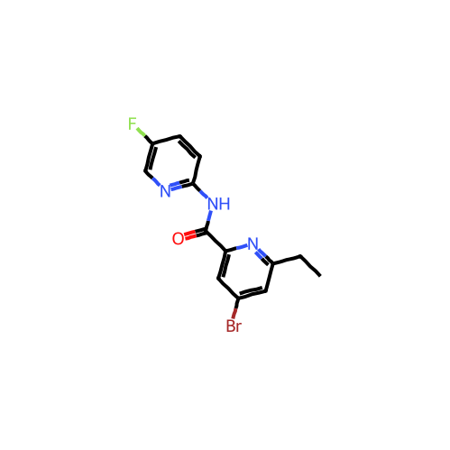 CCc1cc(Br)cc(C(=O)Nc2ccc(F)cn2)n1